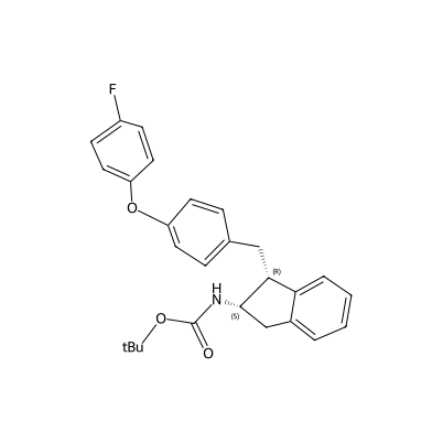 CC(C)(C)OC(=O)N[C@H]1Cc2ccccc2[C@H]1Cc1ccc(Oc2ccc(F)cc2)cc1